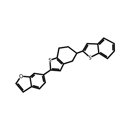 c1ccc2sc(C3CCc4sc(-c5ccc6ccoc6c5)cc4C3)cc2c1